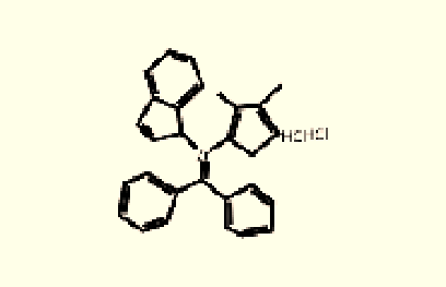 CC1=CC[C]([Zr](=[C](c2ccccc2)c2ccccc2)[CH]2C=Cc3ccccc32)=C1C.Cl.Cl